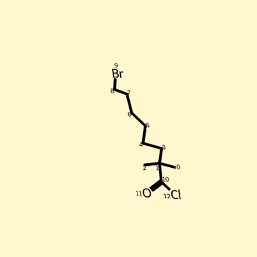 CC(C)(CCCCCCBr)C(=O)Cl